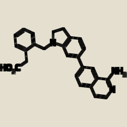 Nc1nccc2ccc(-c3ccc4c(c3)N(Cc3ccccc3CC(=O)O)CC4)cc12